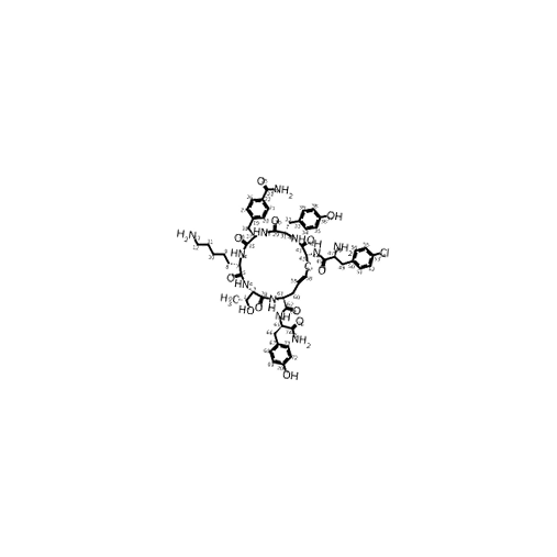 C[C@@H](O)[C@@H]1NC(=O)[C@H](CCCCCN)NC(=O)[C@@H](Cc2ccc(C(N)=O)cc2)NC(=O)[C@H](Cc2ccc(O)cc2)NC(=O)[C@H](NC(=O)[C@@H](N)Cc2ccc(Cl)cc2)C/C=C/C[C@@H](C(=O)N[C@H](Cc2ccc(O)cc2)C(N)=O)NC1=O